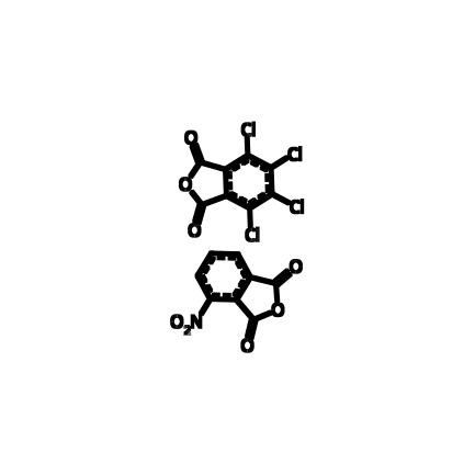 O=C1OC(=O)c2c(Cl)c(Cl)c(Cl)c(Cl)c21.O=C1OC(=O)c2c1cccc2[N+](=O)[O-]